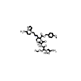 COc1ccc(COC(=O)C2=C(/C=C/C[n+]3ccc(N)n4nccc43)CS[C@H]3[C@H](NC(=O)C(=NOCF)N4C=C(N)SN4)C(=O)N23)cc1